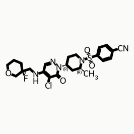 C[C@@H]1C[C@H](n2ncc(NC[C@@]3(F)CCCOC3)c(Cl)c2=O)CCN1S(=O)(=O)c1ccc(C#N)cc1